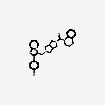 O=C(N1CC2CN(Cc3c(-c4ccc(Br)cc4)nc4ccccn34)CC2C1)N1CCCc2ccccc21